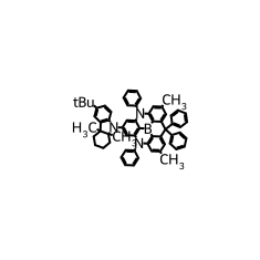 Cc1cc2c3c(c1)C(c1ccccc1)(c1ccccc1)c1cc(C)cc4c1B3c1c(cc(N3c5ccc(C(C)(C)C)cc5C5(C)CCCCC35C)cc1N4c1ccccc1)N2c1ccccc1